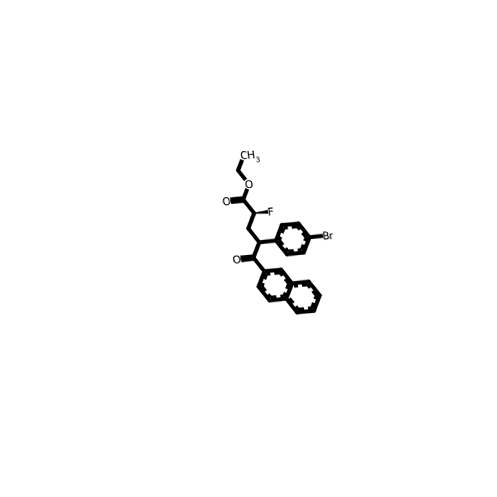 CCOC(=O)[C@@H](F)CC(C(=O)c1ccc2ccccc2c1)c1ccc(Br)cc1